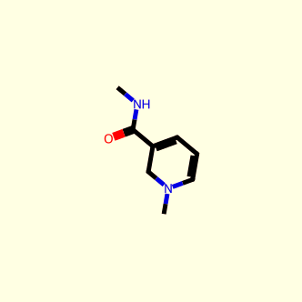 CNC(=O)C1=CC=CN(C)C1